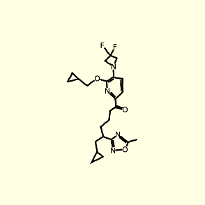 Cc1nc(C(CCCC(=O)c2ccc(N3CC(F)(F)C3)c(OCC3CC3)n2)CC2CC2)no1